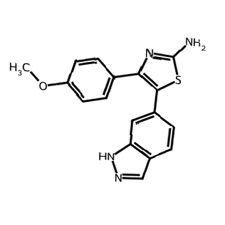 COc1ccc(-c2nc(N)sc2-c2ccc3cn[nH]c3c2)cc1